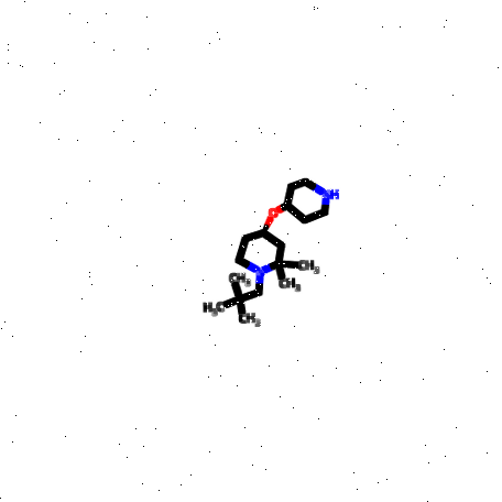 CC(C)(C)CN1CC[C@@H](OC2CCNCC2)CC1(C)C